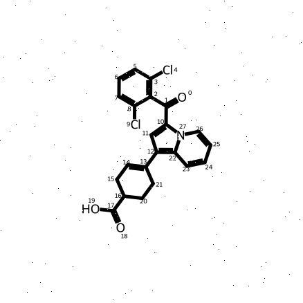 O=C(c1c(Cl)cccc1Cl)c1cc(C2=CCC(C(=O)O)CC2)c2ccccn12